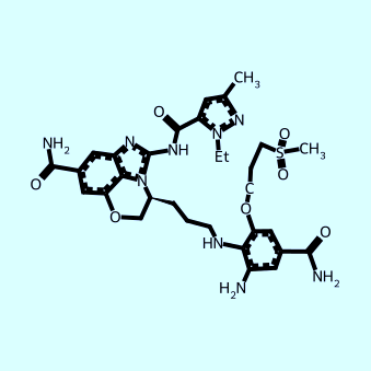 CCn1nc(C)cc1C(=O)Nc1nc2cc(C(N)=O)cc3c2n1[C@@H](CCCNc1c(N)cc(C(N)=O)cc1OCCCS(C)(=O)=O)CO3